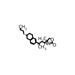 C=CCC[C@@H]1CCc2cc([C@H](C)CC[C@@]3(C)COC(=O)N3)ccc2C1